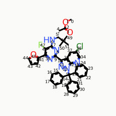 COC(=O)C[C@@H](Nc1nc(-c2nn(C(c3ccccc3)(c3ccccc3)c3ccccc3)c3ncc(Cl)cc23)nc(-c2ccco2)c1F)C(C)(C)C